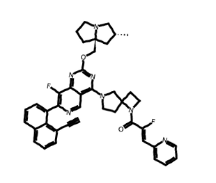 C#Cc1cccc2cccc(-c3ncc4c(N5CCC6(CCN6C(=O)/C(F)=C/c6ccccn6)C5)nc(OC[C@@]56CCCN5C[C@H](C)C6)nc4c3F)c12